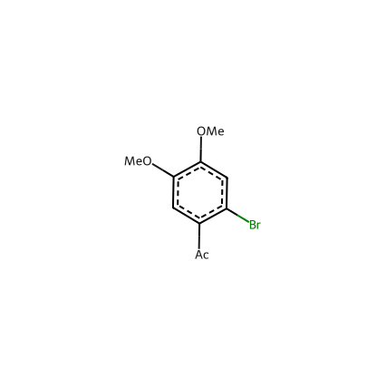 COc1cc(Br)c(C(C)=O)cc1OC